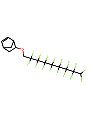 FC(F)C(F)(F)C(F)(F)C(F)(F)C(F)(F)C(F)(F)C(F)(F)C(F)(F)COC1CC2C=CC1C2